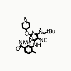 [C-]#[N+]c1c(Nc2cc(C(=O)NC)ccc2C)nc(OC2CCN(C)CC2)nc1N(C)CC(C)(C)C